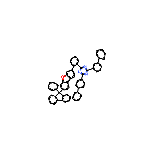 c1ccc(-c2ccc(-c3nc(-c4cccc(-c5ccccc5)c4)nc(-c4ccccc4-c4ccc5c(c4)oc4cc(C6(c7ccccc7)c7ccccc7-c7ccccc76)ccc45)n3)cc2)cc1